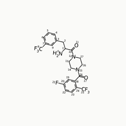 NC(Cc1cccc(C(F)(F)F)c1)C(=O)N1CCN(C(=O)c2cc(F)ccc2C(F)(F)F)CC1